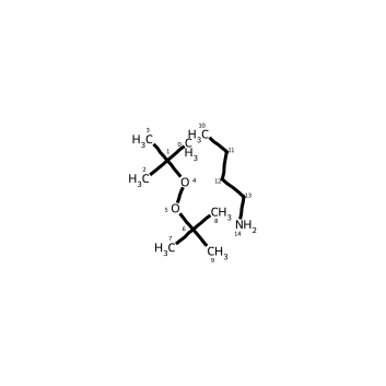 CC(C)(C)OOC(C)(C)C.CCCCN